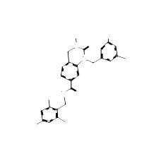 CN1Cc2ccc(C(=O)NCc3c(F)cc(F)cc3F)cc2N(Cc2cc(F)cc(F)c2)C1=O